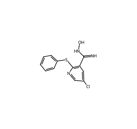 N=C(NO)c1cc(Cl)cnc1Sc1ccccc1